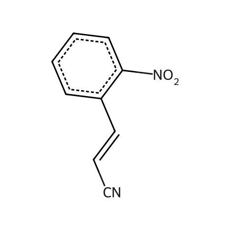 N#CC=Cc1ccccc1[N+](=O)[O-]